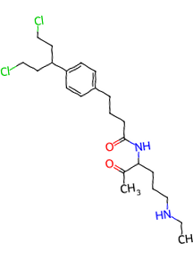 CCNCCCC(NC(=O)CCCc1ccc(C(CCCl)CCCl)cc1)C(C)=O